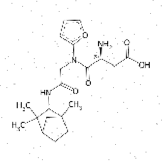 CC12CCC(C1)C(C)(C)C2NC(=O)CN(C(=O)[C@@H](N)CC(=O)O)c1ccco1